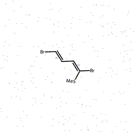 CS/C(Br)=C\C=C\Br